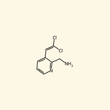 NCc1ncccc1C=C(Cl)Cl